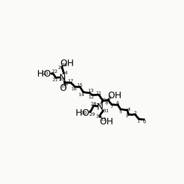 CCCCCCCCC(O)C(CCCCCCCC(=O)N(CCO)CCO)N(CCO)CCO